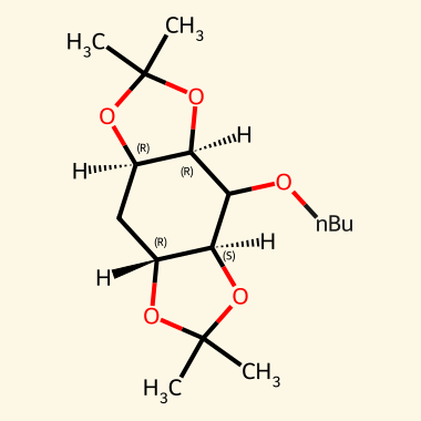 CCCCOC1[C@H]2OC(C)(C)O[C@@H]2C[C@H]2OC(C)(C)O[C@@H]12